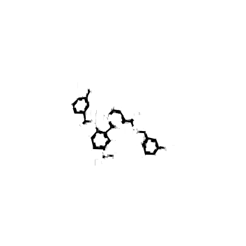 CCN(CC)c1ccc(NC(=O)c2cccc(CS)c2)c(-c2cc(C(=O)NCc3cccc(C(F)(F)F)c3)ccn2)c1